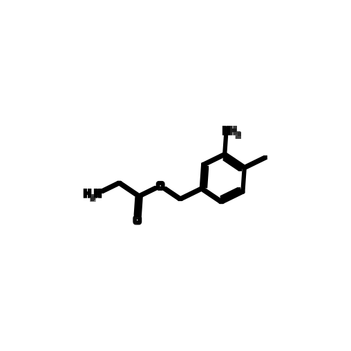 Cc1ccc(COC(=O)CN)cc1N